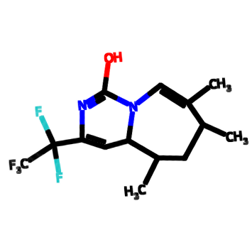 CC1=CN2C(O)=NC(C(F)(F)C(F)(F)F)=CC2C(C)CC1C